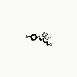 CCCSP(=O)(OCC)N(C=Nc1ccc(Br)cc1)CC=CCl